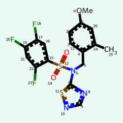 COc1ccc(CN(c2ncns2)S(=O)(=O)c2cc(F)c(F)cc2F)c(C)c1